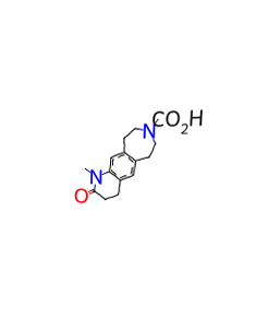 CN1C(=O)CCc2cc3c(cc21)CCN(C(=O)O)CC3